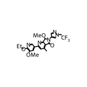 CCOc1ncc(-c2cc(C)c3c(n2)C(OC)N(c2cnn(CC(F)(F)F)c2)C3=O)cc1OC